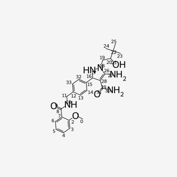 COc1ccccc1C(=O)NCc1ccc(C2NN(CC(O)C(C)(C)C)C(N)=C2C(N)=O)cc1